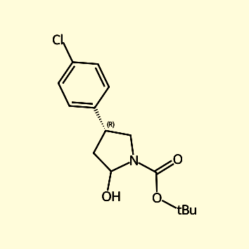 CC(C)(C)OC(=O)N1C[C@@H](c2ccc(Cl)cc2)CC1O